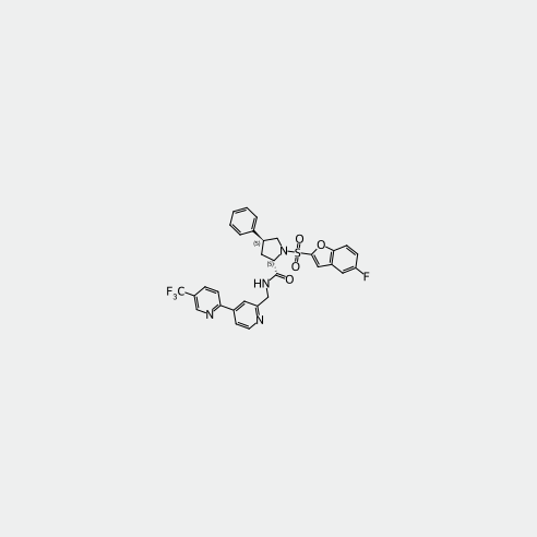 O=C(NCc1cc(-c2ccc(C(F)(F)F)cn2)ccn1)[C@@H]1C[C@@H](c2ccccc2)CN1S(=O)(=O)c1cc2cc(F)ccc2o1